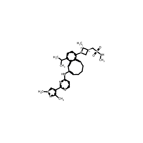 CNS(=O)(=O)C[C@H]1CN(c2ccc(C(C)C)c3/c2=C\CCC/C=C(Nc2ccnc(-c4cn(C)nc4C)n2)\C=3)[C@@H]1C